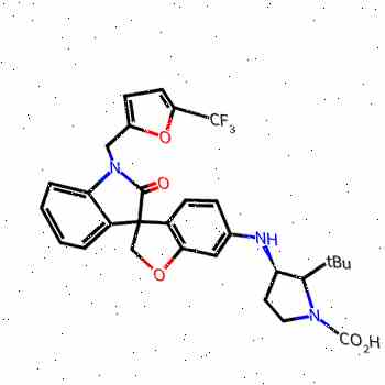 CC(C)(C)C1[C@H](Nc2ccc3c(c2)OCC32C(=O)N(Cc3ccc(C(F)(F)F)o3)c3ccccc32)CCN1C(=O)O